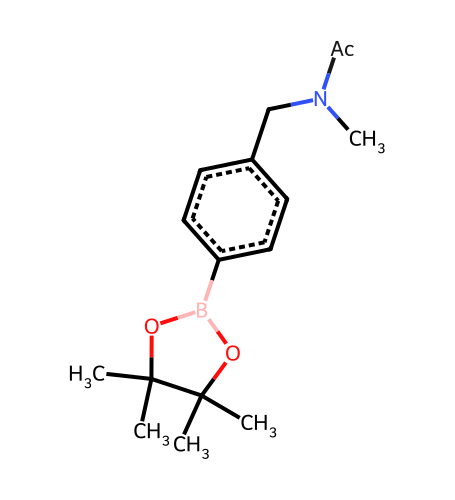 CC(=O)N(C)Cc1ccc(B2OC(C)(C)C(C)(C)O2)cc1